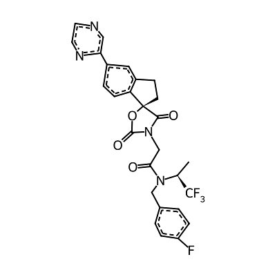 C[C@H](N(Cc1ccc(F)cc1)C(=O)CN1C(=O)O[C@@]2(CCc3cc(-c4cnccn4)ccc32)C1=O)C(F)(F)F